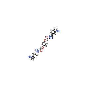 O=C(COc1ccc(OCC(=O)N/N=C/c2ccc3cc[nH]c3c2)cc1)N/N=C/c1ccc2cc[nH]c2c1